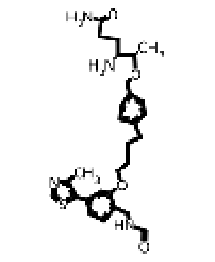 Cc1ncsc1-c1ccc(CNC=O)c(OCCCCc2ccc(CO[C@H](C)[C@@H](N)CCC(N)=O)cc2)c1